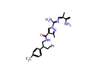 C=C(N)/C(C)=C\N=C(/N)n1cc(C(=O)NCC(CC(C)C)c2ccc(C(F)(F)F)cc2)c(C)n1